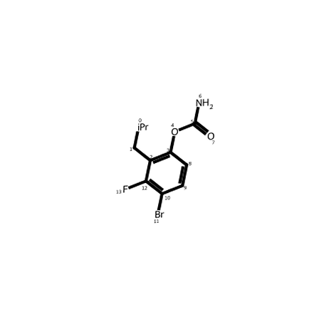 CC(C)Cc1c(OC(N)=O)ccc(Br)c1F